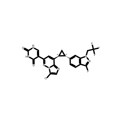 O=c1[nH]cc(-c2cc([C@H]3C[C@@H]3c3ccc4c(F)nn(CC(F)(F)F)c4c3)c3ncc(Cl)n3n2)c(=O)[nH]1